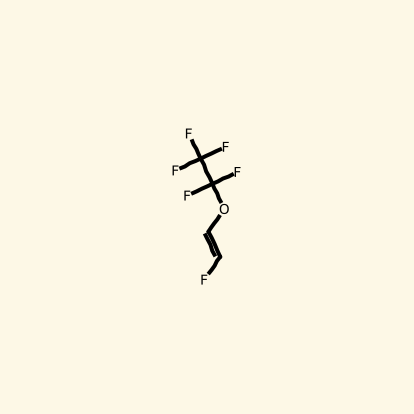 FC=COC(F)(F)C(F)(F)F